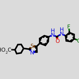 O=C(Nc1ccc(-c2cnc(C3CCC(C(=O)O)CC3)s2)cc1)Nc1ccc(Cl)cc1F